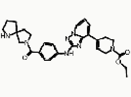 CCOC(=O)N1CC=C(c2cccn3nc(Nc4ccc(C(=O)N5CCC6(CCCN6)C5)cc4)nc23)CC1